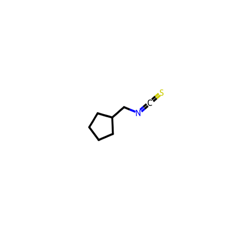 S=C=NCC1CCCC1